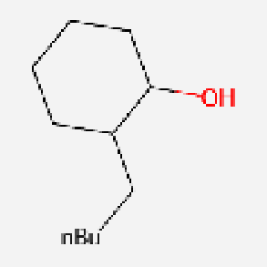 CCCCCC1CCCCC1O